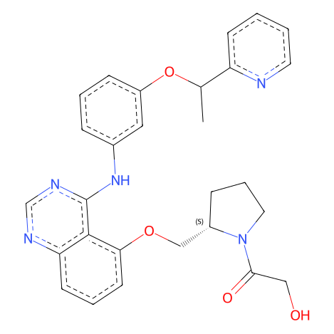 CC(Oc1cccc(Nc2ncnc3cccc(OC[C@@H]4CCCN4C(=O)CO)c23)c1)c1ccccn1